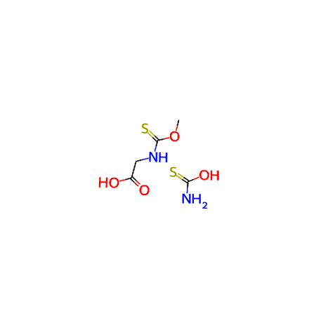 COC(=S)NCC(=O)O.NC(O)=S